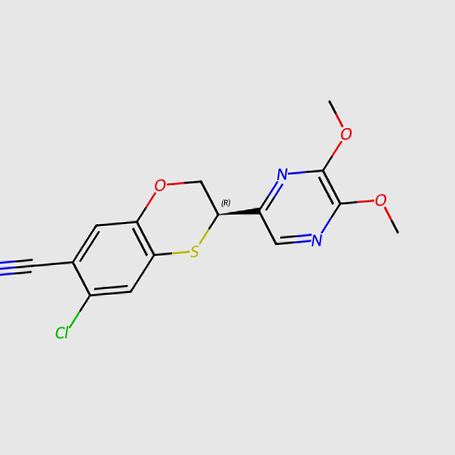 COc1ncc([C@@H]2COc3cc(C#N)c(Cl)cc3S2)nc1OC